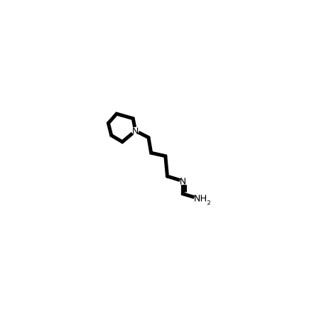 NC=NCCCCN1CCCCC1